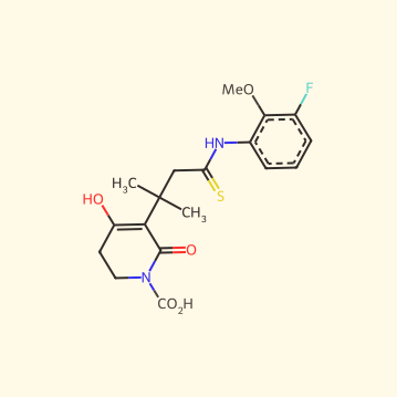 COc1c(F)cccc1NC(=S)CC(C)(C)C1=C(O)CCN(C(=O)O)C1=O